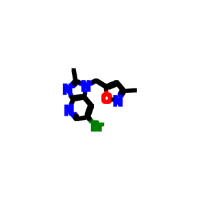 Cc1cc(Cn2c(C)nc3ncc(Br)cc32)on1